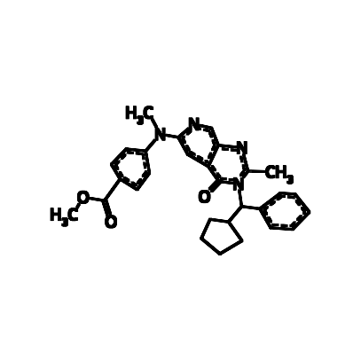 COC(=O)c1ccc(N(C)c2cc3c(=O)n(C(c4ccccc4)C4CCCC4)c(C)nc3cn2)cc1